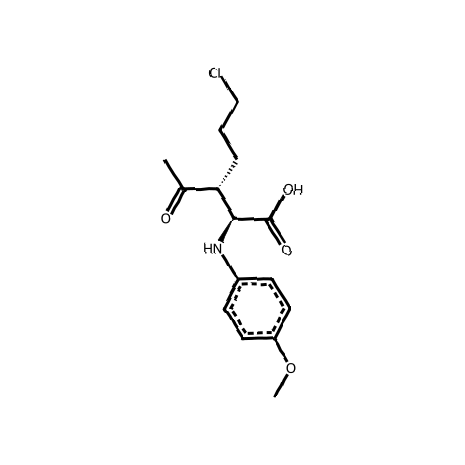 COc1ccc(N[C@H](C(=O)O)[C@@H](CCCCl)C(C)=O)cc1